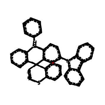 c1ccc([SiH]2c3ccccc3C3(c4ccccc4Sc4ccccc43)c3cc(-n4c5ccccc5c5ccccc54)ccc32)cc1